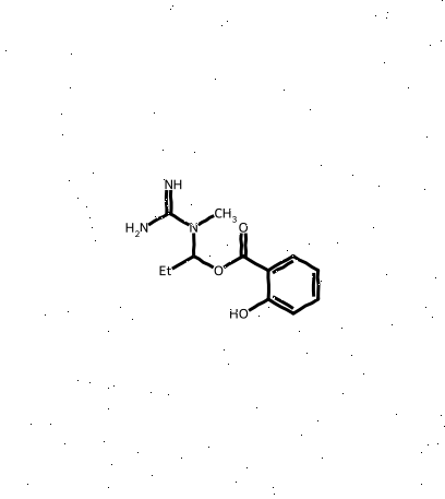 CCC(OC(=O)c1ccccc1O)N(C)C(=N)N